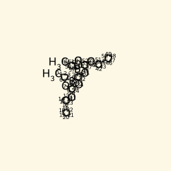 Cc1ccc2c(c1)Oc1cc(Oc3cccc(-c4ccccc4)c3)cc3c1B2c1cc2c(cc1O3)Oc1cc(Oc3cccc(-c4ccccc4)c3)cc3c1B2c1ccc(C)cc1O3